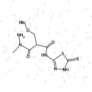 CN(N)C(=O)C(COC(C)(C)C)C(=O)Nc1n[nH]c(=S)s1